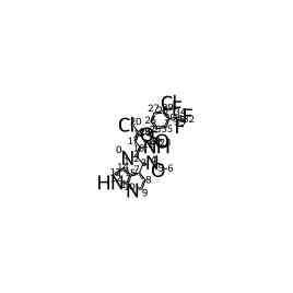 C=NC(/C(=N/OC)c1ccnc2[nH]ccc12)=C(\C=C(/C)Cl)NS(=O)(=O)c1ccc(Cl)c(C(F)(F)F)c1